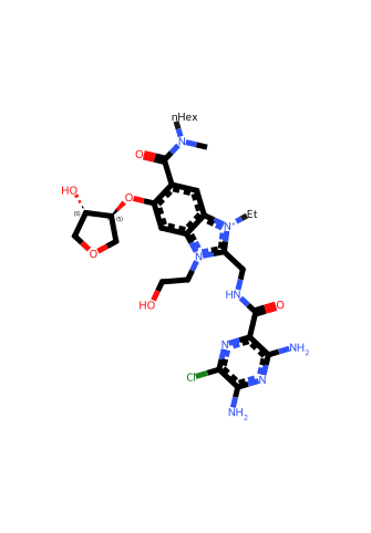 CCCCCCN(C)C(=O)c1cc2c(cc1O[C@H]1COC[C@@H]1O)n(CCO)c(CNC(=O)c1nc(Cl)c(N)nc1N)[n+]2CC